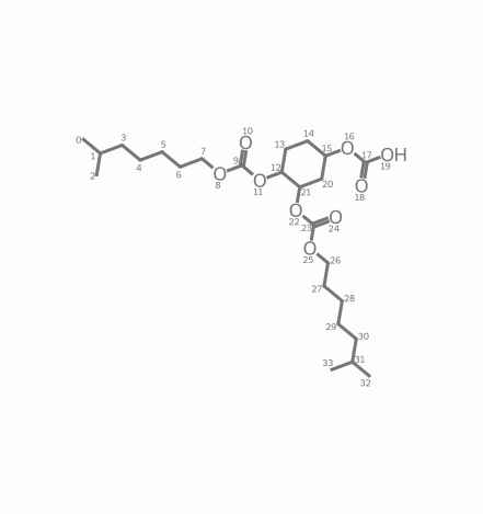 CC(C)CCCCCOC(=O)OC1CCC(OC(=O)O)CC1OC(=O)OCCCCCC(C)C